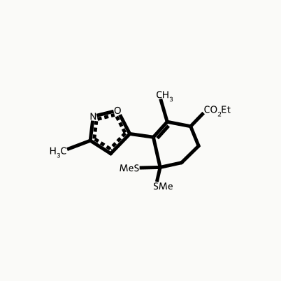 CCOC(=O)C1CCC(SC)(SC)C(c2cc(C)no2)=C1C